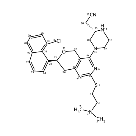 CN(C)CCSc1nc2c(c(N3CCN[C@@H](CC#N)C3)n1)CO[C@H](c1cccc3cccc(Cl)c13)C2